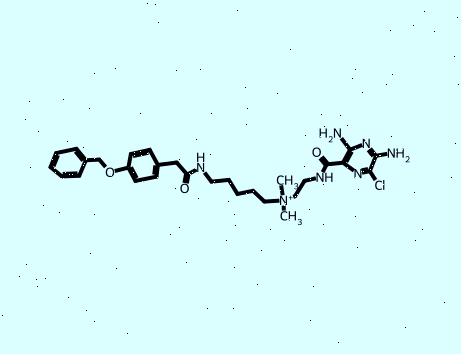 C[N+](C)(CCCCCNC(=O)Cc1ccc(OCc2ccccc2)cc1)CCNC(=O)c1nc(Cl)c(N)nc1N